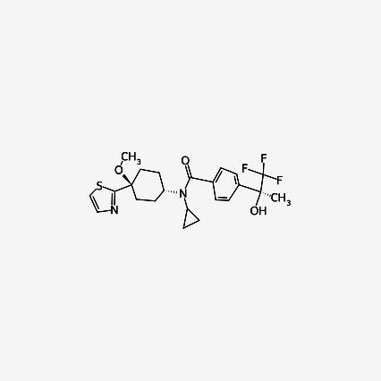 CO[C@]1(c2nccs2)CC[C@@H](N(C(=O)c2ccc([C@](C)(O)C(F)(F)F)cc2)C2CC2)CC1